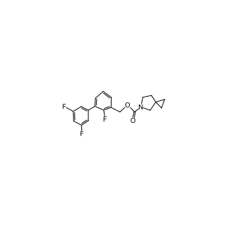 O=C(OCc1cccc(-c2cc(F)cc(F)c2)c1F)N1CCC2(CC2)C1